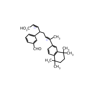 C/C(=C\CC(/C=C\C(=O)O)c1cccc(C=O)c1)c1ccc2c(c1)C(C)(C)CCC2(C)C